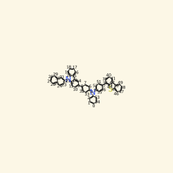 c1ccc(N(c2ccc(-c3ccc4c(c3)c3ccccc3n4-c3ccc4ccccc4c3)cc2)c2ccc(-c3cccc4c3sc3ccccc34)cc2)cc1